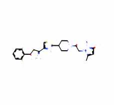 Cc1cc(=O)n(C)n1CC(=O)N1CCC(c2nc(C3=NOC(c4c(F)cccc4F)C3)cs2)CC1